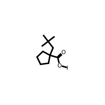 CC(C)(C)CC1(C(=O)OI)CCCC1